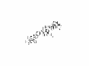 CN(C)C(=O)c1cc2cc(NC(=O)c3cc(NC(=O)OC(C)(C)C)cn3C)ccc2s1